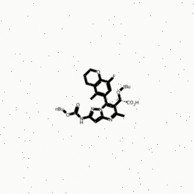 CCCCOC(=O)Nc1cc2nc(C)c([C@H](OC(C)(C)C)C(=O)O)c(-c3cc(F)c4c(c3C)CCCO4)n2n1